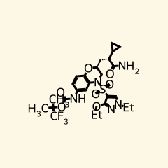 CCOc1nn(CC)cc1S(=O)(=O)N1C[C@H](C[C@@H](C(N)=O)C2CC2)Oc2ccc(NC(=O)OC(C)(C)C(F)(F)F)cc21